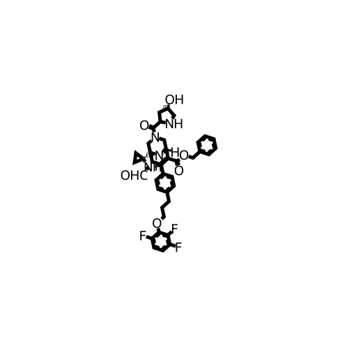 O=CNC1([C@]23CC(c4ccc(CCCOc5c(F)ccc(F)c5F)cc4)=C(C(=O)OCc4ccccc4)[C@@H](CN(C(=O)C4C[C@@H](O)CN4)C2)N3)CC1